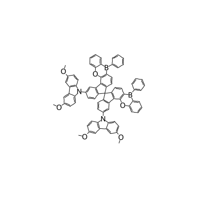 COc1ccc2c(c1)c1cc(OC)ccc1n2-c1ccc2c(c1)-c1c(ccc3c1Oc1ccccc1B3c1ccccc1)C21c2ccc(-n3c4ccc(OC)cc4c4cc(OC)ccc43)cc2-c2c1ccc1c2Oc2ccccc2B1c1ccccc1